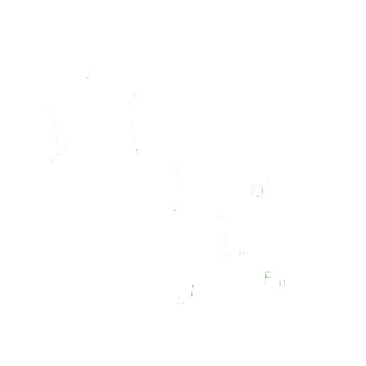 O=C(CCc1ccccc1)C(F)I